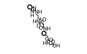 C[C@H](NC(=O)OCc1cccc(NC(=O)CN2C(=O)NC(C)(CCCNc3nc4ccccc4[nH]3)C2=O)c1)C(=O)O